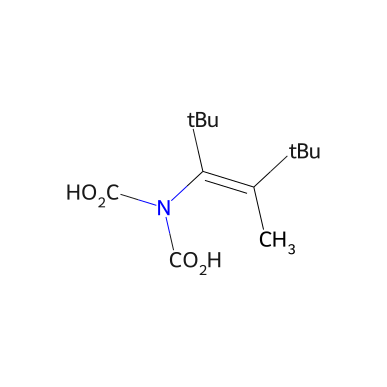 C/C(=C(\N(C(=O)O)C(=O)O)C(C)(C)C)C(C)(C)C